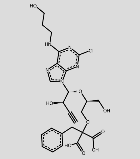 C#C[C@@H](O)[C@@H](O[C@@H](CO)COC(Cc1ccccc1)(C(=O)O)C(=O)O)n1cnc2c(NCCCO)nc(Cl)nc21